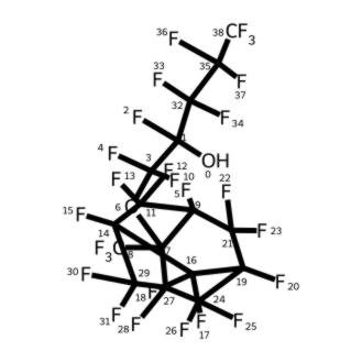 OC(F)(C(F)(F)OC1(C(F)(F)F)C2(F)C(F)(F)C3(F)C(F)(F)C(F)(C2(F)F)C(F)(F)C1(F)C3(F)F)C(F)(F)C(F)(F)C(F)(F)F